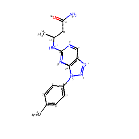 COc1ccc(-n2nnc3cnc(NC(C)CC(N)=O)nc32)cc1